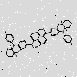 Cc1ccc(N2c3ccc(-c4ccc5c6c7c(ccc46)C=CC(c4ccc6c(c4)CC4(C)CCCCC4(C)N6c4ccc(C)cc4)C7=CC5)cc3CC3(C)CCCCC23C)cc1